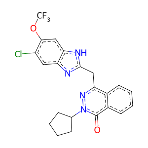 O=c1c2ccccc2c(Cc2nc3cc(Cl)c(OC(F)(F)F)cc3[nH]2)nn1C1CCCC1